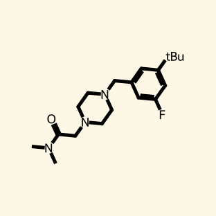 CN(C)C(=O)CN1CCN(Cc2cc(F)cc(C(C)(C)C)c2)CC1